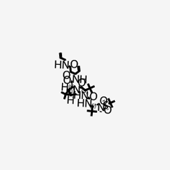 C=CCNC(=O)C(=O)C(C=C)NC(=O)[C@@H]1[C@@H]2[C@H](CN1C(=O)[C@@H](NC(=O)N[C@H](CN(C)S(=O)(=O)C(C)(C)C)C(C)(C)C)C(C)(C)C)C2(C)C